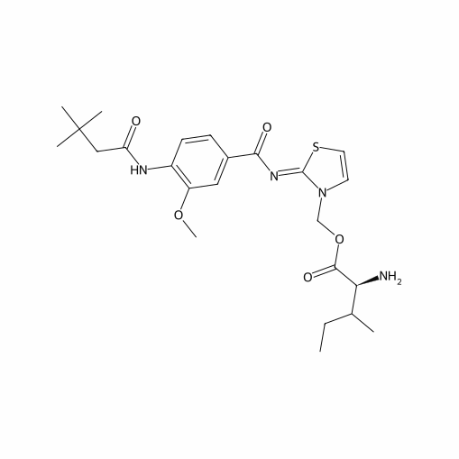 CCC(C)[C@H](N)C(=O)OCn1ccsc1=NC(=O)c1ccc(NC(=O)CC(C)(C)C)c(OC)c1